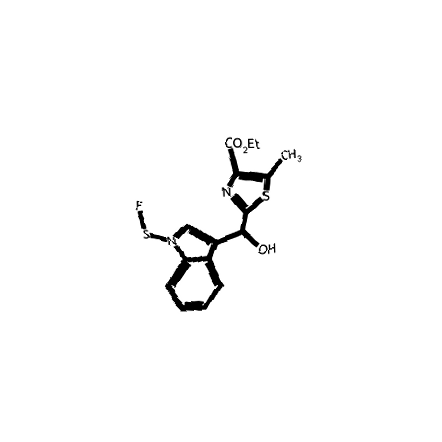 CCOC(=O)c1nc(C(O)c2cn(SF)c3ccccc23)sc1C